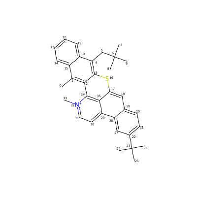 Cc1c2c(c(CC(C)(C)C)c3ccccc13)Sc1cc3ccc(C(C)(C)C)cc3c3cc[n+](C)c-2c13